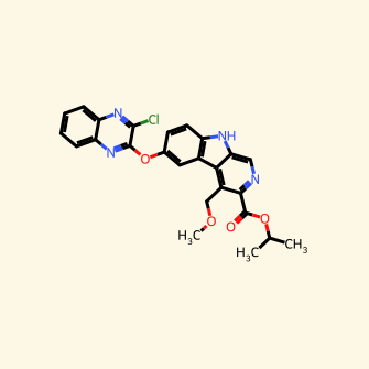 COCc1c(C(=O)OC(C)C)ncc2[nH]c3ccc(Oc4nc5ccccc5nc4Cl)cc3c12